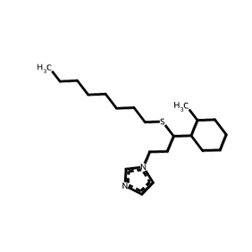 CCCCCCCCSC(CCn1ccnc1)C1CCCCC1C